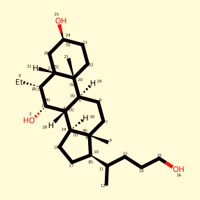 CC[C@H]1[C@@H](O)[C@@H]2[C@H](CC[C@]3(C)[C@@H](C(C)CCCO)CC[C@@H]23)[C@@]2(C)CC[C@H](O)C[C@@H]12